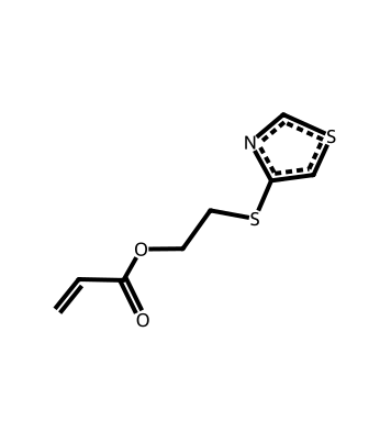 C=CC(=O)OCCSc1cscn1